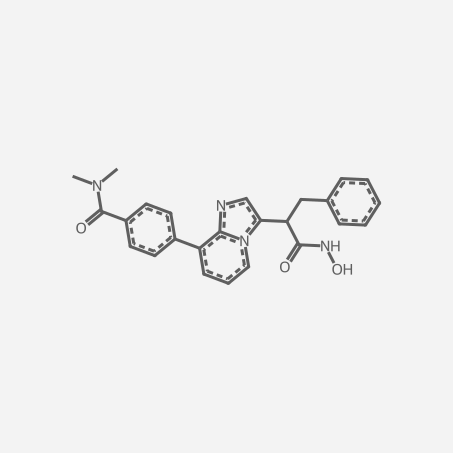 CN(C)C(=O)c1ccc(-c2cccn3c(C(Cc4ccccc4)C(=O)NO)cnc23)cc1